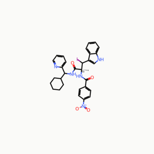 C[C@](NC(=O)c1ccc([N+](=O)[O-])cc1)(C(=O)NC(c1ccccn1)C1CCCCC1)C(I)c1c[nH]c2ccccc12